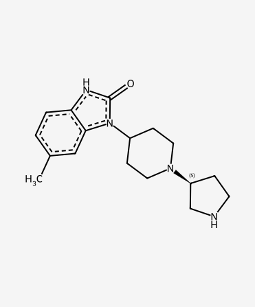 Cc1ccc2[nH]c(=O)n(C3CCN([C@H]4CCNC4)CC3)c2c1